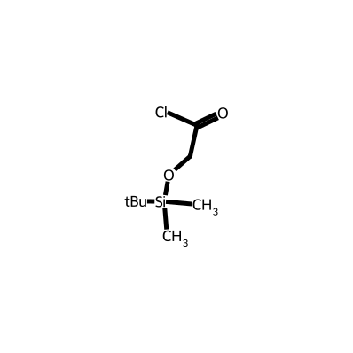 CC(C)(C)[Si](C)(C)OCC(=O)Cl